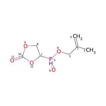 C=C(C)CO[PH](=O)C1COC(=O)O1